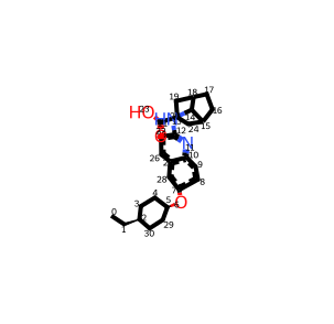 CC[C@H]1CC[C@@H](Oc2ccc3nc(NC4C5CCC4CC(C(=O)O)C5)ccc3c2)CC1